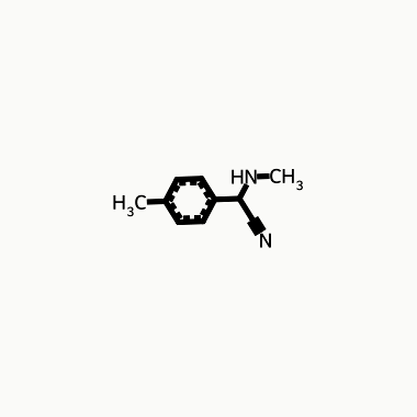 CNC(C#N)c1ccc(C)cc1